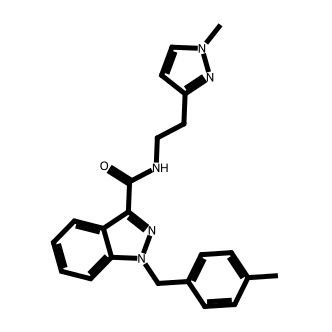 Cc1ccc(Cn2nc(C(=O)NCCc3ccn(C)n3)c3ccccc32)cc1